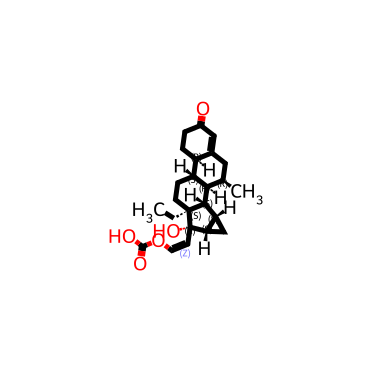 CC[C@]12CC[C@H]3[C@H]([C@@H]1[C@@H]1C[C@@H]1[C@@]2(O)/C=C\OC(=O)O)[C@H](C)CC1=CC(=O)CC[C@@H]13